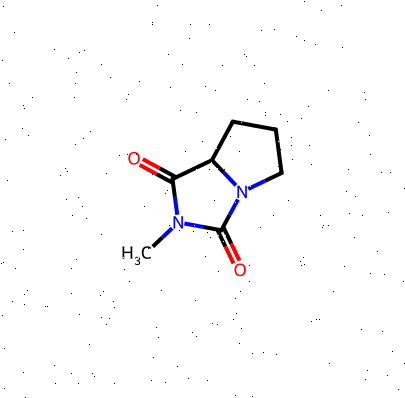 CN1C(=O)C2CCCN2C1=O